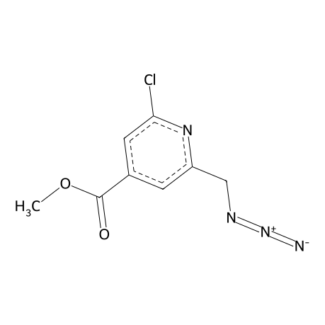 COC(=O)c1cc(Cl)nc(CN=[N+]=[N-])c1